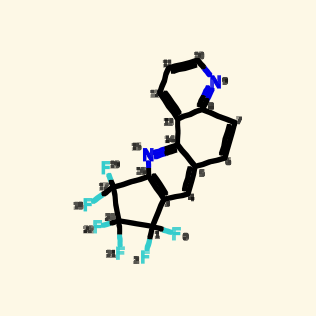 FC1(F)c2cc3ccc4ncccc4c3nc2C(F)(F)C1(F)F